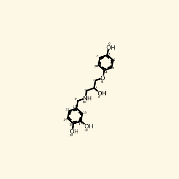 Oc1ccc(OCC(O)CNCc2ccc(O)c(O)c2)cc1